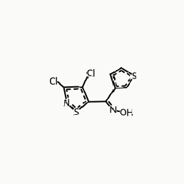 O/N=C(\c1ccsc1)c1snc(Cl)c1Cl